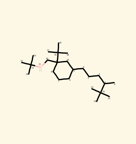 CC(CCCC1CCCC(CBC(C)(C)C)(C(C)(C)C)C1)C(C)(C)C